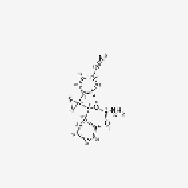 N#Cc1ccc(C2(C(OC(N)=O)c3ccccc3)CC2)cc1